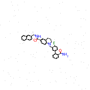 C[C@H](NC(=O)c1ccc2c(c1)CCCN2Cc1cc(-c2ccccc2C(N)=O)ccc1F)c1ccc2ccccc2c1